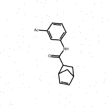 CC(=O)c1cccc(NC(=O)C2CC3C=CC2C3)c1